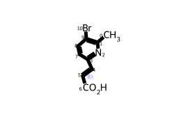 Cc1nc(/C=C/C(=O)O)ccc1Br